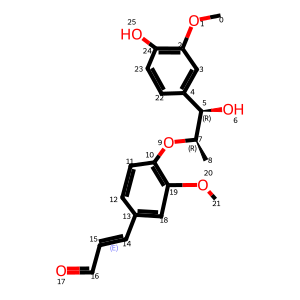 COc1cc([C@@H](O)[C@@H](C)Oc2ccc(/C=C/C=O)cc2OC)ccc1O